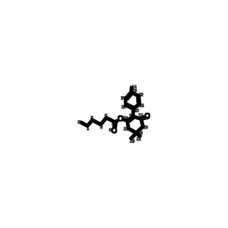 CCCCCC(=O)OC1=C(c2ccc(C)cc2)C(=O)CC(C)(C)C1